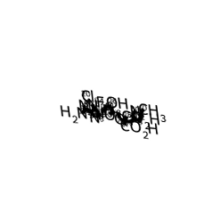 Cc1ccc(CC(OC[C@H]2O[C@@H](n3cnc4c(N)nc(Cl)nc43)[C@@H](F)[C@@H]2O)(C(=O)O)C(=O)O)cn1